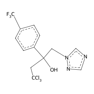 OC(Cn1cncn1)(CC(Cl)(Cl)Cl)c1ccc(C(F)(F)F)cc1